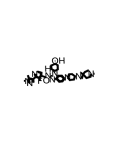 Cc1c(-c2nccc(C(=O)Nc3nc4ccc(N5CCC(N6CC7(CCN(C)CC7)C6)CC5)cc4n3[C@H]3CC[C@@H](O)CC3)c2F)cnn1C